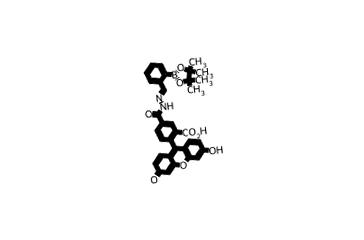 CC1(C)OB(c2ccccc2/C=N/NC(=O)c2ccc(-c3c4ccc(=O)cc-4oc4cc(O)ccc34)c(C(=O)O)c2)OC1(C)C